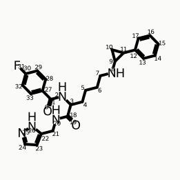 O=C(NC(CCCCNC1CC1c1ccccc1)C(=O)NCc1ccn[nH]1)c1ccc(F)cc1